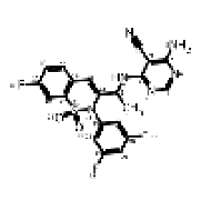 CC(Nc1ncnc(N)c1C#N)C1=Cc2ccc(F)cc2S(=O)(=O)N1c1cc(F)cc(F)c1